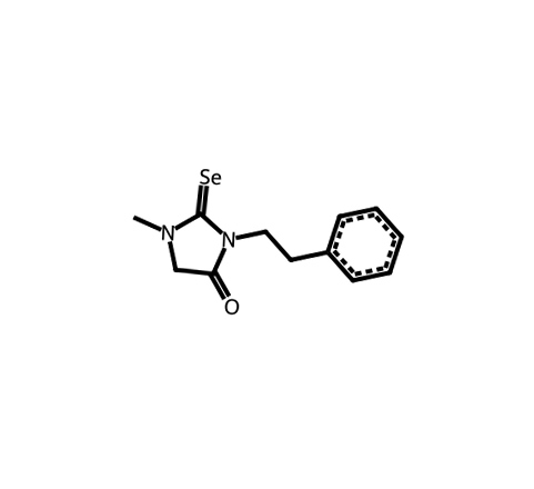 CN1CC(=O)N(CCc2ccccc2)C1=[Se]